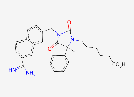 CC1(c2ccccc2)C(=O)N(Cc2ccc3ccc(C(=N)N)cc3c2)C(=O)N1CCCCCC(=O)O